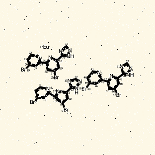 Brc1ccnc(-c2cc(Br)cc(-c3ncn[nH]3)n2)c1.Brc1ccnc(-c2cc(Br)cc(-c3ncn[nH]3)n2)c1.Brc1ccnc(-c2cc(Br)cc(-c3ncn[nH]3)n2)c1.[Eu]